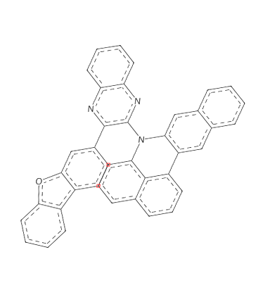 c1ccc2cc3c(cc2c1)-c1cccc2cccc(c12)N3c1nc2ccccc2nc1-c1ccc2c(c1)oc1ccccc12